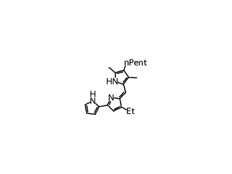 CCCCCc1c(C)[nH]c(/C=C2\N=C(c3ccc[nH]3)C=C2CC)c1C